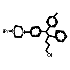 Cc1ccc(C(c2ccc(N3CCN(C(C)C)CC3)cc2)C(CCCO)c2ccccc2)cc1